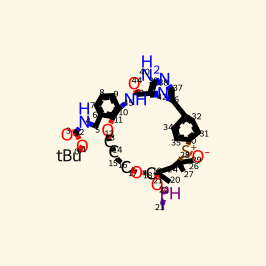 CC(C)(C)OC(=O)NCc1cccc2c1OCCCCOCC(C)(OPI)CC(C)(C)[S+]([O-])c1ccc(cc1)-c1cnc(N)c(n1)C(=O)N2